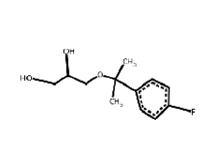 CC(C)(OCC(O)CO)c1ccc(F)cc1